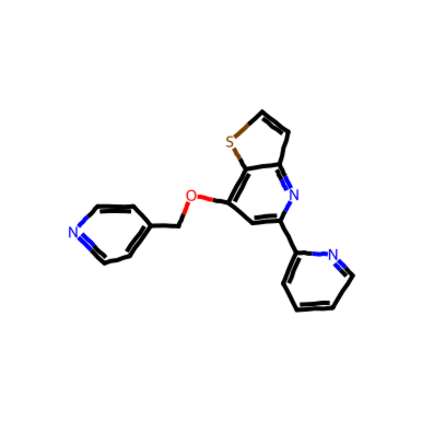 c1ccc(-c2cc(OCc3ccncc3)c3sccc3n2)nc1